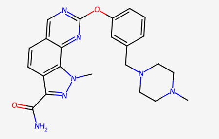 CN1CCN(Cc2cccc(Oc3ncc4ccc5c(C(N)=O)nn(C)c5c4n3)c2)CC1